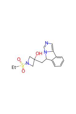 CCS(=O)(=O)N1CC(O)(CC2c3ccccc3-c3cncn32)C1